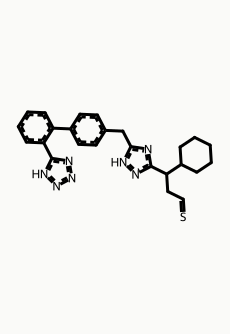 S=CCC(c1n[nH]c(Cc2ccc(-c3ccccc3-c3nnn[nH]3)cc2)n1)C1CCCCC1